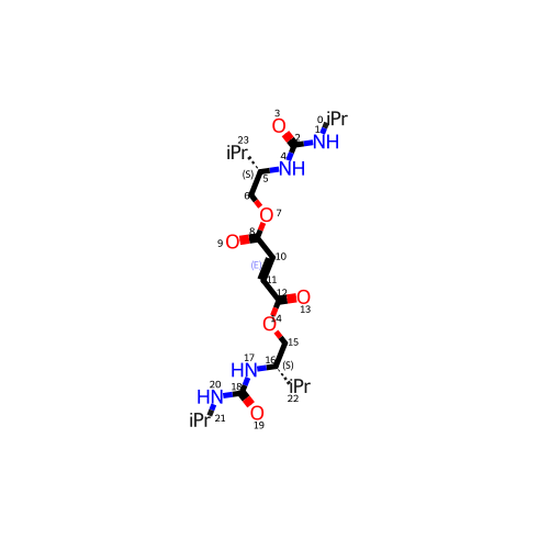 CC(C)NC(=O)N[C@H](COC(=O)/C=C/C(=O)OC[C@@H](NC(=O)NC(C)C)C(C)C)C(C)C